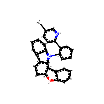 N#Cc1ccc(-c2ccccc2-n2c3ccccc3c3ccc4oc5ccccc5c4c32)nc1